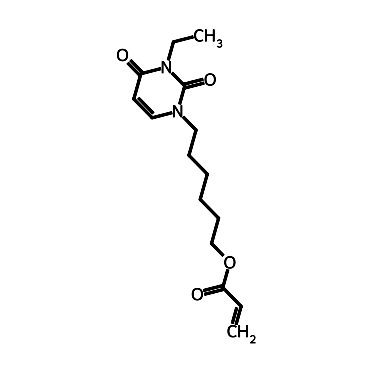 C=CC(=O)OCCCCCCn1ccc(=O)n(CC)c1=O